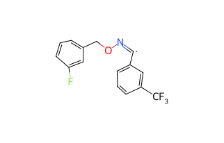 Fc1cccc(CO/N=[C]\c2cccc(C(F)(F)F)c2)c1